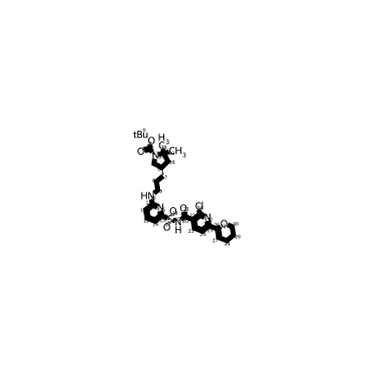 CC(C)(C)OC(=O)N1C[C@@H](CCCNc2cccc(S(=O)(=O)NC(=O)c3ccc(C4=CCCCO4)nc3Cl)n2)CC1(C)C